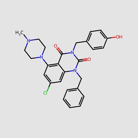 CN1CCN(c2cc(Cl)cc3c2c(=O)n(Cc2ccc(O)cc2)c(=O)n3Cc2ccccc2)CC1